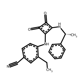 CCc1cc(C#N)ccc1Nc1c(N[C@H](C)c2ccccc2)c(=O)c1=O